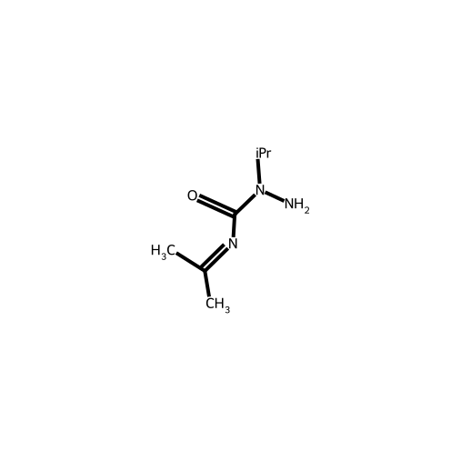 CC(C)=NC(=O)N(N)C(C)C